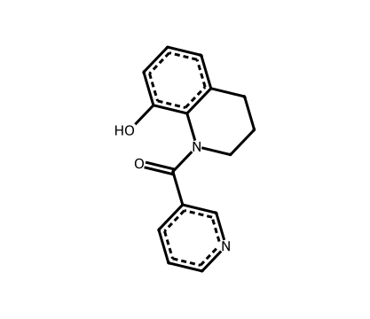 O=C(c1cccnc1)N1CCCc2cccc(O)c21